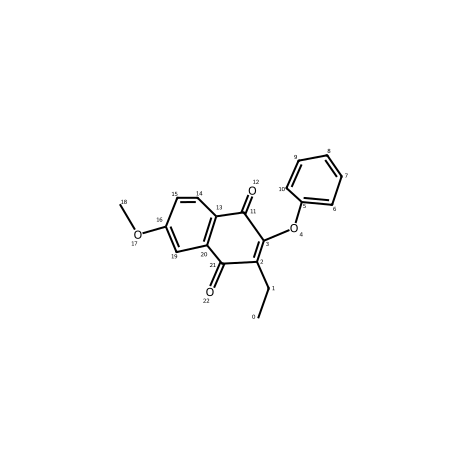 CCC1=C(Oc2ccccc2)C(=O)c2ccc(OC)cc2C1=O